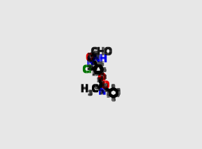 Cc1nc(C2CCCCC2)oc1COc1ccc(C2=NOC(C=O)N2)c(Cl)c1